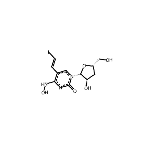 O=c1nc(NO)c(/C=C/I)cn1[C@@H]1O[C@H](CO)C[C@H]1O